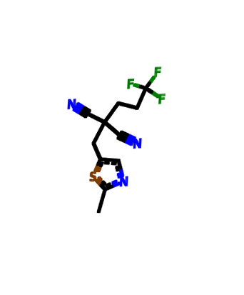 Cc1ncc(CC(C#N)(C#N)CCC(F)(F)F)s1